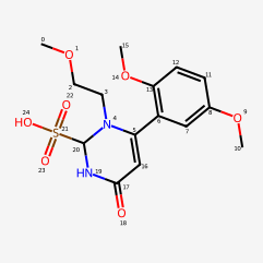 COCCN1C(c2cc(OC)ccc2OC)=CC(=O)NC1S(=O)(=O)O